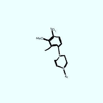 COc1c([N+](=O)[O-])ccc(N2CCN(C(C)=O)CC2)c1C